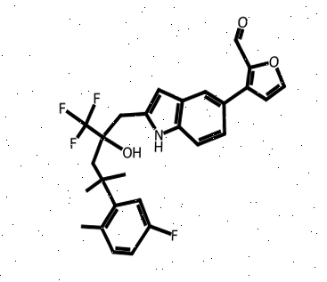 Cc1ccc(F)cc1C(C)(C)CC(O)(Cc1cc2cc(-c3ccoc3C=O)ccc2[nH]1)C(F)(F)F